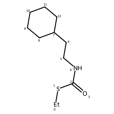 CCSC(=O)NCCC1CCCCC1